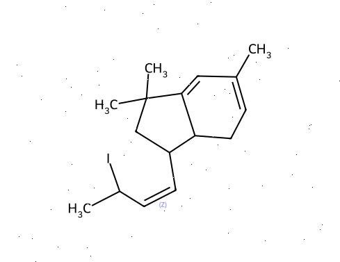 CC1=CCC2C(=C1)C(C)(C)CC2/C=C\C(C)I